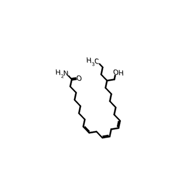 CCCC(CO)CCCCC/C=C\C/C=C\C/C=C\CCCCCCC(N)=O